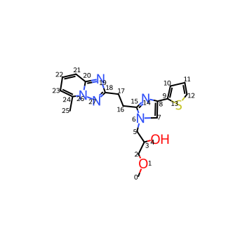 COCC(O)Cn1cc(-c2cccs2)nc1CCc1nc2cccc(C)n2n1